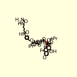 CCCC1O[C@@H]2CC3[C@@H]4C[C@H](F)C5=CC(=O)C=C[C@]5(C)C4[C@@H](O)C[C@]3(C)[C@]2(C(=O)COC(=O)C(C)(C)NC(=O)[C@H](CC(C)C)NC(=O)OCc2ccc(NC(=O)CCCCNC(N)=O)cc2)O1